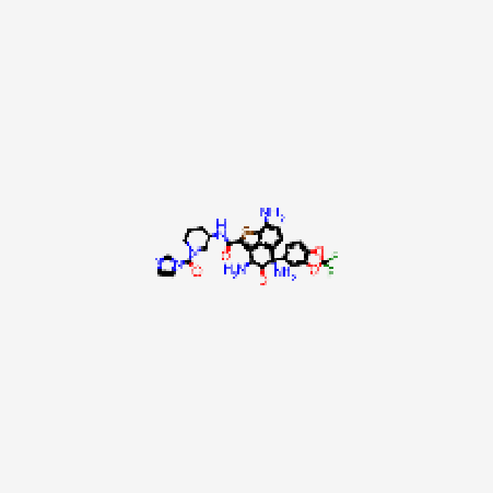 Nc1ccc2c3c(c(C(=O)NC4CCCN(C(=O)n5ccnc5)C4)sc13)C(N)C(=O)C2(N)c1ccc2c(c1)OC(F)(F)O2